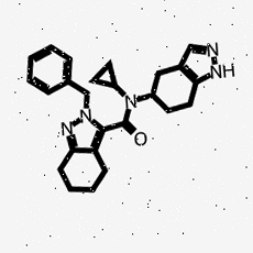 O=C(c1c2c(nn1Cc1ccccc1)CCCC2)N(C1CC1)C1CCc2[nH]ncc2C1